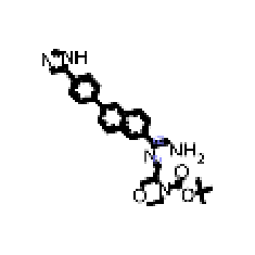 CC(C)(C)OC(=O)N1CCOCC1/C=N/C(=C\N)c1ccc2cc(-c3ccc(-c4cnc[nH]4)cc3)ccc2c1